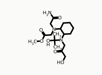 COC(=O)CN(CC(N)=O)C1CCCCC1N(CC(=O)CO)C(C)(C)O